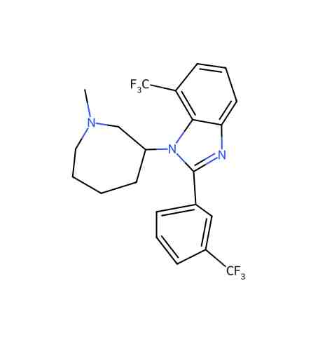 CN1CCCCC(n2c(-c3cccc(C(F)(F)F)c3)nc3cccc(C(F)(F)F)c32)C1